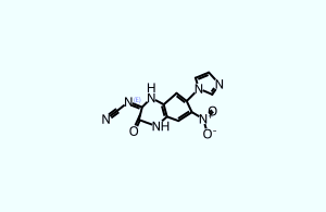 N#C/N=c1/[nH]c2cc(-n3ccnc3)c([N+](=O)[O-])cc2[nH]c1=O